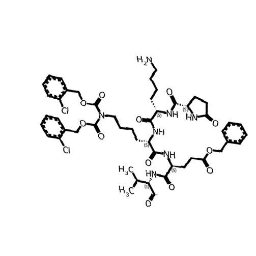 CC(C)[C@@H]([C]=O)NC(=O)[C@H](CCC(=O)OCc1ccccc1)NC(=O)[C@H](CCCCN(C(=O)OCc1ccccc1Cl)C(=O)OCc1ccccc1Cl)NC(=O)[C@H](CCCCN)NC(=O)[C@@H]1CCC(=O)N1